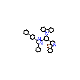 c1ccc(-c2ccc(-c3cc(-c4ccccc4)nc(-c4cc(-c5ccnc6c5sc5ccccc56)cc(-n5c6ccccc6c6ccccc65)c4)n3)cc2)cc1